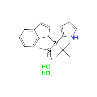 C[SiH](C)[Zr]([c]1ccc[nH]1)([CH]1C=Cc2ccccc21)[C](C)(C)C.Cl.Cl